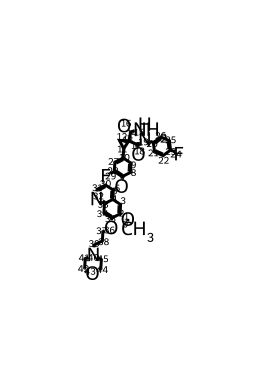 COc1cc2c(Oc3ccc(C4CC4(C(N)=O)C(=O)Nc4ccc(F)cc4)cc3F)ccnc2cc1OCCCN1CCOCC1